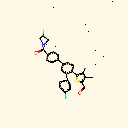 Cc1c(C=O)sc(-c2ccc(-c3ccc(C(=O)N4CC(F)C4)cc3)cc2-c2ccc(F)cc2)c1C